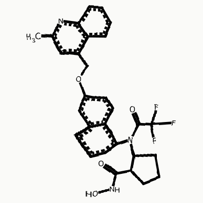 Cc1cc(COc2ccc3c(N(C(=O)C(F)(F)F)C4CCCC4C(=O)NO)cccc3c2)c2ccccc2n1